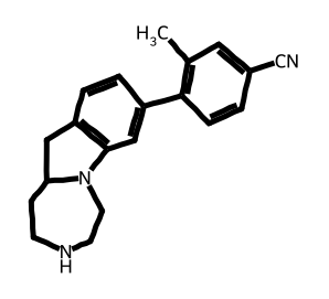 Cc1cc(C#N)ccc1-c1ccc2c(c1)N1CCNCCC1C2